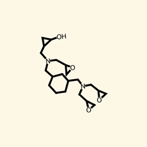 OC1CC1CN(CC1CCCC(CN(CC2CO2)CC2CO2)C1)CC1CO1